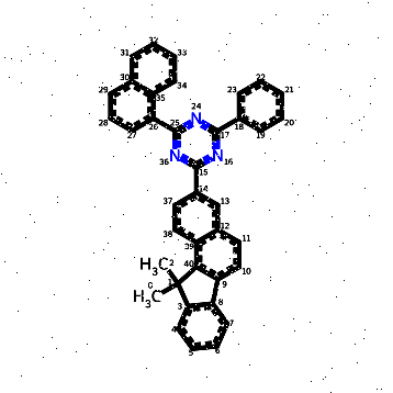 CC1(C)c2ccccc2-c2ccc3cc(-c4nc(-c5ccccc5)nc(-c5cccc6ccccc56)n4)ccc3c21